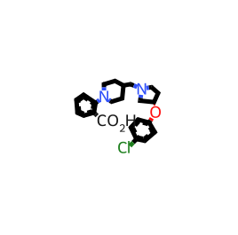 O=C(O)c1ccccc1N1CCC(CN2CC[C@H](Oc3ccc(Cl)cc3)C2)CC1